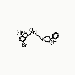 CN(CCCN1CCC(c2ccccc2)(N(C)C)CC1)C(=O)CC1CNc2ccc(Br)cc21